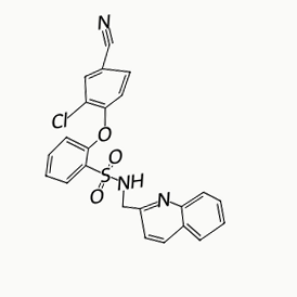 N#Cc1ccc(Oc2ccccc2S(=O)(=O)NCc2ccc3ccccc3n2)c(Cl)c1